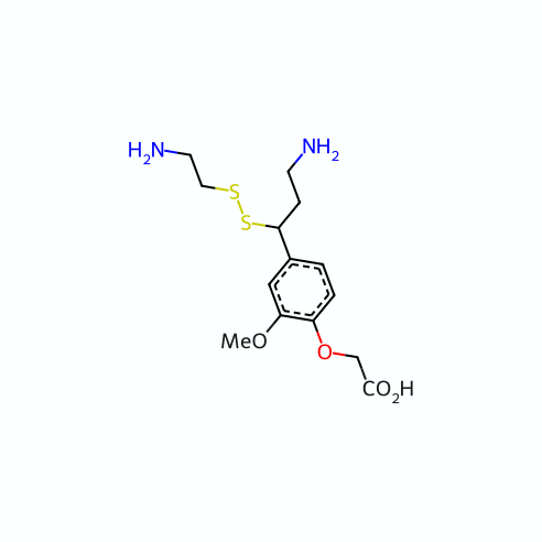 COc1cc(C(CCN)SSCCN)ccc1OCC(=O)O